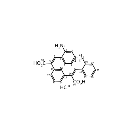 Cl.Nc1ccccc1C=C(C(=O)O)c1cccc(C(=Cc2ccccc2N)C(=O)O)c1